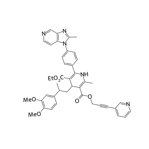 CCOC(=O)C1=C(c2ccc(-n3c(C)nc4cnccc43)cc2)NC(C)=C(C(=O)OCC#Cc2cccnc2)C1CC(C)c1ccc(OC)c(OC)c1